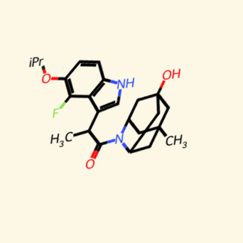 CC(C)Oc1ccc2[nH]cc(C(C)C(=O)N3C4CC5(C)CC3CC(O)(C4)C5)c2c1F